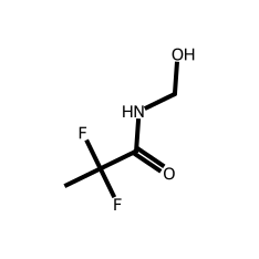 CC(F)(F)C(=O)NCO